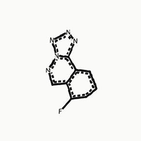 Fc1cccc2c1cnn1nnnc21